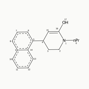 CCCN1CCC(c2cccc3ccccc23)C=C1O